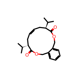 CC(C)[C@@H]1C/C=C\C[C@@H](C(C)C)C(=O)OCc2ccccc2COC1=O